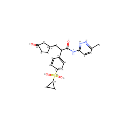 Cc1ccc(NC(=O)C(C[C@H]2CCC(=O)C2)c2ccc(S(=O)(=O)C3CC3)cc2)nn1